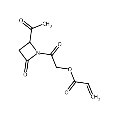 C=CC(=O)OCC(=O)N1C(=O)CC1C(C)=O